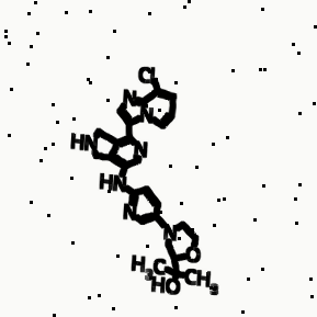 CC(C)(O)C1CN(c2ccc(Nc3cnc(-c4cnc5c(Cl)cccn45)c4c3CNC4)nc2)CCO1